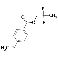 C=Cc1ccc(C(=O)OCC(C)(F)F)cc1